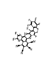 N#Cc1c(C#N)c(C#N)c2c3nc4c(F)c(F)c(-c5c(F)c(F)c(F)c(F)c5F)c(F)c4nc3c3nc(F)c(F)nc3c2c1C#N